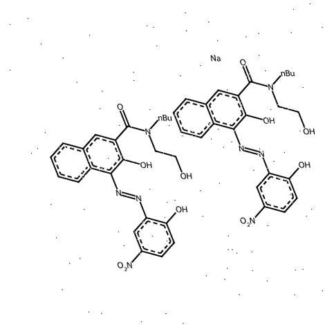 CCCCN(CCO)C(=O)c1cc2ccccc2c(N=Nc2cc([N+](=O)[O-])ccc2O)c1O.CCCCN(CCO)C(=O)c1cc2ccccc2c(N=Nc2cc([N+](=O)[O-])ccc2O)c1O.[Na]